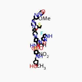 COc1cc(CN2CCN(C3CC4(CCN(c5ccc(C(=O)NS(=O)(=O)c6ccc(NCC7CCC(C)(O)CC7)c([N+](=O)[O-])c6)c(N6c7cc8c(F)c[nH]c8nc7O[C@H]7COCC[C@@H]76)c5)CC4)C3)[C@H](c3sccc3C(C)C)C2)cnc1N1CCOCC1